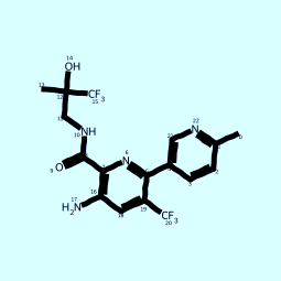 Cc1ccc(-c2nc(C(=O)NCC(C)(O)C(F)(F)F)c(N)cc2C(F)(F)F)cn1